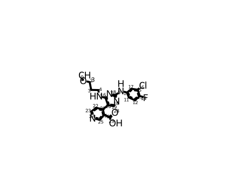 COCCCNc1nc(Nc2ccc(F)c(Cl)c2)ncc1-c1ccncc1C(=O)O